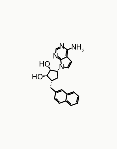 Nc1ncnc2c1ccn2[C@@H]1C[C@H](Cc2ccc3ccccc3c2)[C@@H](O)[C@H]1O